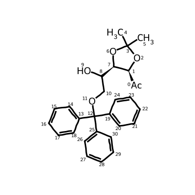 CC(=O)[C@@H]1OC(C)(C)O[C@@H]1C(O)COC(c1ccccc1)(c1ccccc1)c1ccccc1